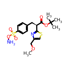 COCc1csc([C@@H](Cc2ccc(S(=O)(=O)ON)cc2)C(=O)OC(C)(C)C)n1